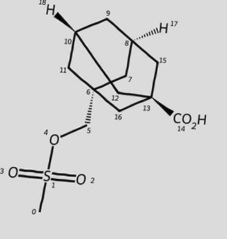 CS(=O)(=O)OC[C@@]12C[C@H]3C[C@@H](C1)C[C@](C(=O)O)(C3)C2